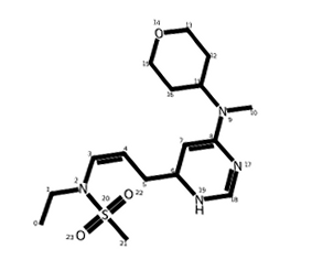 CCN(/C=C\CC1C=C(N(C)C2CCOCC2)N=CN1)S(C)(=O)=O